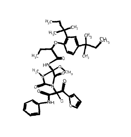 CCC(Oc1ccc(C(C)(C)CC)cc1C(C)(C)CC)C(=O)NC1(OC)C(=O)N(C(Cl)(C(=O)Nc2ccccc2)C(=O)c2ccco2)C(=O)N1C